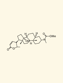 COC(=O)N(C)C1CC[C@@]2(C)[C@H](CC[C@@H]3[C@@H]2CC[C@]2(C)[C@@H](C4C=CC(=O)OC4C)CC[C@]32O)C1